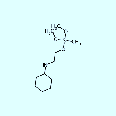 CO[Si](C)(OC)OCCNC1CCCCC1